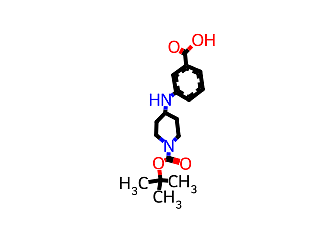 CC(C)(C)OC(=O)N1CCC(Nc2cccc(C(=O)O)c2)CC1